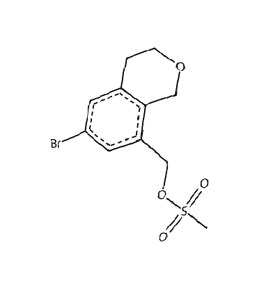 CS(=O)(=O)OCc1cc(Br)cc2c1COCC2